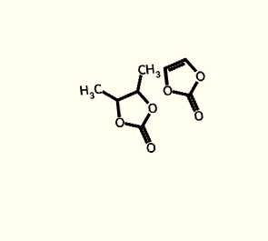 CC1OC(=O)OC1C.O=c1occo1